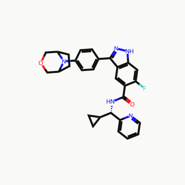 O=C(N[C@H](c1ccccn1)C1CC1)c1cc2c(-c3ccc(N4C5CCC4COC5)cc3)n[nH]c2cc1F